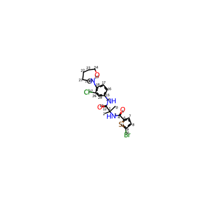 CC(C)(NC(=O)c1ccc(Br)s1)C(=O)Nc1ccc(N2CCCCCO2)c(Cl)c1